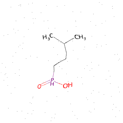 CC(C)CC[PH](=O)O